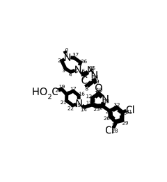 CN1CCCN(c2ccc(Oc3cc(CN4CCC(CC(=O)O)CC4)cc(-c4cc(Cl)cc(Cl)c4)n3)nn2)CC1